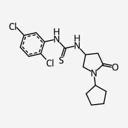 O=C1CC(NC(=S)Nc2cc(Cl)ccc2Cl)CN1C1CCCC1